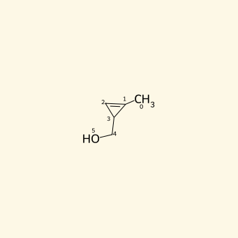 CC1=CC1CO